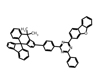 CC1(C)c2ccccc2C2(c3ccccc3-c3ccccc32)c2ccc(-c3ccc(-c4nc(-c5ccccc5)nc(-c5ccc6c(c5)oc5ccccc56)n4)cc3)cc21